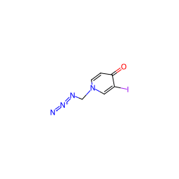 [N-]=[N+]=NCn1ccc(=O)c(I)c1